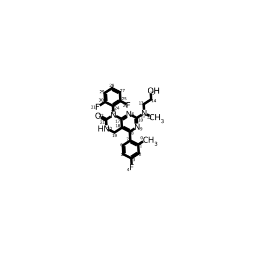 Cc1cc(F)ccc1-c1nc(N(C)CCO)nc2c1CNC(=O)N2c1c(F)cccc1F